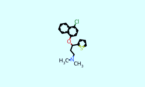 CN(C)CCC(Oc1ccc(Cl)c2ccccc12)c1cccs1